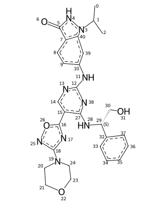 CC(C)n1[nH]c(=O)c2ccc(Nc3ncc(-c4nc(N5CCOCC5)no4)c(N[C@H](CO)c4ccccc4)n3)cc21